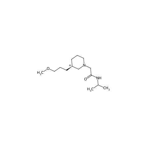 COCCC[C@H]1CCCN(CC(=O)NC(C)C)C1